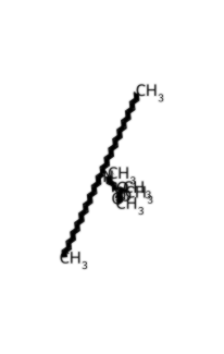 CCCCCCCCCCCCCCCCCCC(CCCCCCCCCCCCCCCCCC)N(C)CCC[Si](OC)(OC)OC